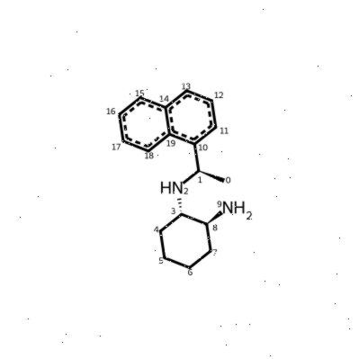 C[C@@H](N[C@H]1CCCC[C@@H]1N)c1cccc2ccccc12